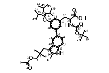 CC(=O)OCC(C)(C)Cc1c(I)[nH]c2ccc(-c3cc(CC(NC(=O)OC(C)(C)C)C(=O)O)cc(O[Si](C(C)C)(C(C)C)C(C)C)c3)cc12